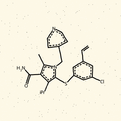 C=Cc1cc(Cl)cc(Sc2c(C(C)C)c(C(N)=O)c(C)n2Cc2ccncc2)c1